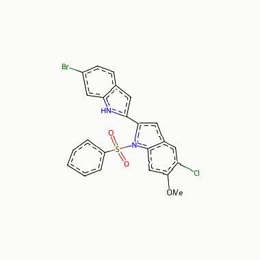 COc1cc2c(cc1Cl)cc(-c1cc3ccc(Br)cc3[nH]1)n2S(=O)(=O)c1ccccc1